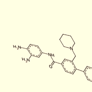 Nc1ccc(NC(=O)c2ccc(-c3ccccc3)c(CN3CCCCC3)c2)cc1N